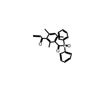 C=CC(=O)c1c(C)cc(C)c(C(=O)P(=O)(c2ccccc2)c2ccccc2)c1C